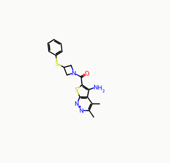 Cc1nnc2sc(C(=O)N3CC(Sc4ccccc4)C3)c(N)c2c1C